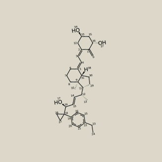 C=C1/C(=C\C=C2/CCC[C@]3(C)[C@@H]([C@H](C)/C=C/[C@H](O)C4(c5ccc(CC)cc5)CC4)CC[C@@H]23)C[C@@H](O)C[C@@H]1O